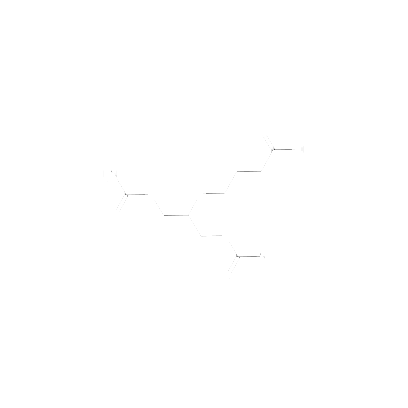 NC(=O)OCC(COC(N)=O)OCCCC(=O)O